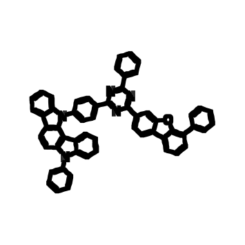 c1ccc(-c2nc(-c3ccc(-n4c5ccccc5c5ccc6c(c7ccccc7n6-c6ccccc6)c54)cc3)nc(-c3ccc4c(c3)oc3c(-c5ccccc5)cccc34)n2)cc1